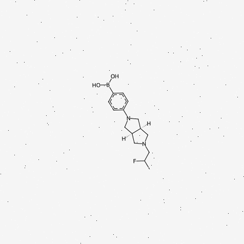 CC(F)CN1C[C@@H]2CN(c3ccc(B(O)O)cc3)C[C@@H]2C1